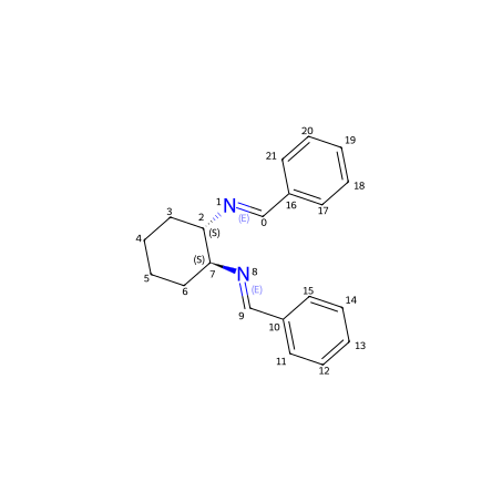 C(=N\[C@H]1CCCC[C@@H]1/N=C/c1ccccc1)/c1ccccc1